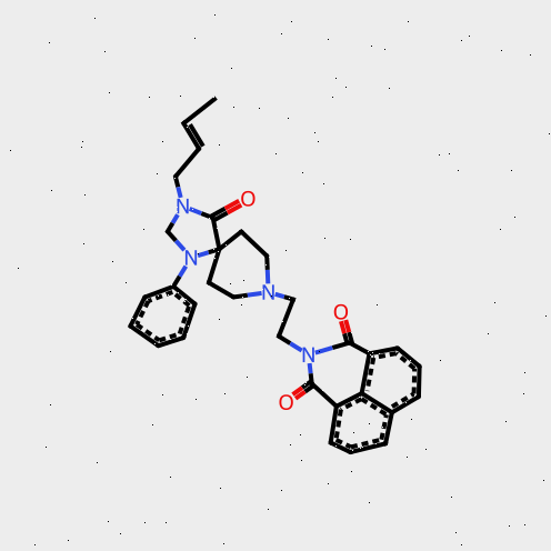 CC=CCN1CN(c2ccccc2)C2(CCN(CCN3C(=O)c4cccc5cccc(c45)C3=O)CC2)C1=O